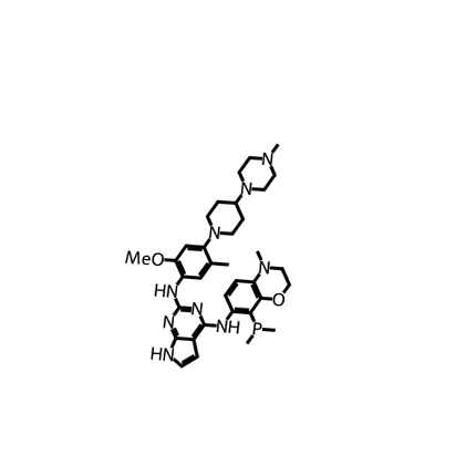 COc1cc(N2CCC(N3CCN(C)CC3)CC2)c(C)cc1Nc1nc(Nc2ccc3c(c2P(C)C)OCCN3C)c2cc[nH]c2n1